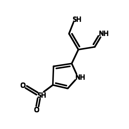 N=C/C(=C\S)c1cc([SH](=O)=O)c[nH]1